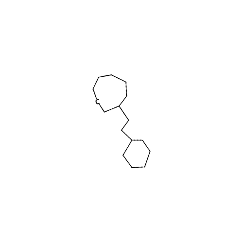 C1CCCC(CCC2CCCCC2)CCC1